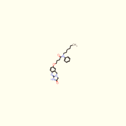 CCCCCCN(C(=O)CCCOc1ccc2c(c1)CN1CC(=O)NC1=N2)c1ccccc1